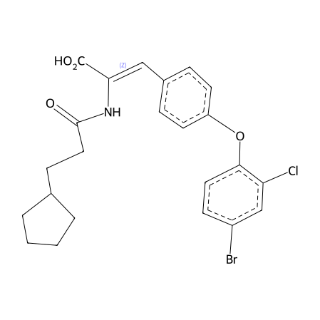 O=C(CCC1CCCC1)N/C(=C\c1ccc(Oc2ccc(Br)cc2Cl)cc1)C(=O)O